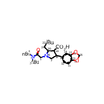 CCCCN(CCCC)C(=O)CN1CC(c2ccc3c(c2)OCO3)C(C(=O)O)C1CC(C)CC